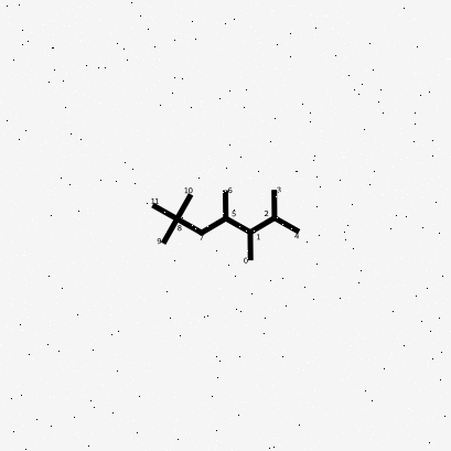 C[C](C(C)C)C(C)CC(C)(C)C